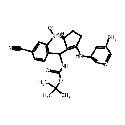 Bc1cncc(NC2=C(C(NC(=O)OC(C)(C)C)c3ccc(C#N)cc3[S+](C)[O-])C(=O)CC2)c1